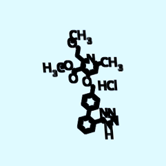 COCCc1nc(C)cc(OCc2ccc(-c3ccccc3-c3nnn[nH]3)cc2)c1C(=O)OC.Cl